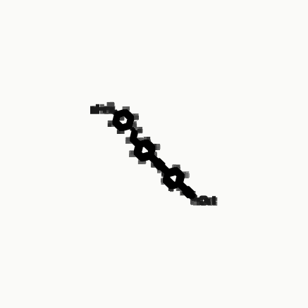 CCCCCCCCC#Cc1ccc(C#Cc2ccc(CC[C@H]3CC[C@H](CCCCCC)CC3)cc2)cc1